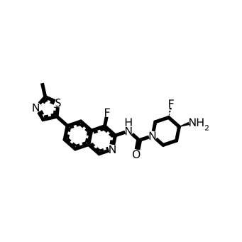 Cc1ncc(-c2ccc3cnc(NC(=O)N4CC[C@H](N)[C@@H](F)C4)c(F)c3c2)s1